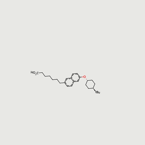 CC(C)(C)[C@H]1CC[C@H](Oc2ccc3cc(CCCCCCC(=O)O)ccc3c2)CC1